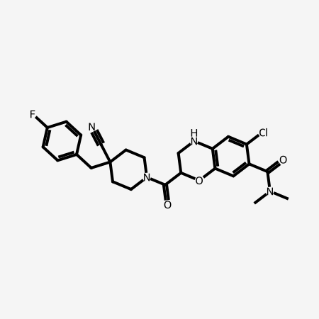 CN(C)C(=O)c1cc2c(cc1Cl)NCC(C(=O)N1CCC(C#N)(Cc3ccc(F)cc3)CC1)O2